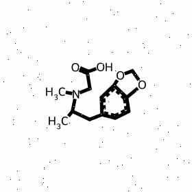 CC(Cc1ccc2c(c1)OCO2)N(C)CC(=O)O